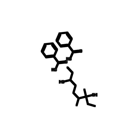 CCC(O)CCC(C)C(C)(O)CC.O=C(O)c1ccccc1.O=C(O)c1ccccc1